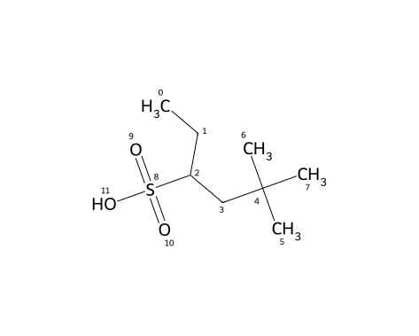 CCC(CC(C)(C)C)S(=O)(=O)O